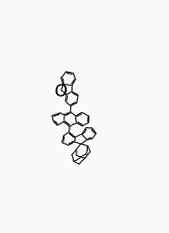 c1ccc2c(c1)-c1c(-c3c4ccccc4c(-c4ccc5c(c4)oc4ccccc45)c4ccccc34)cccc1C21C2CC3CC(C2)CC1C3